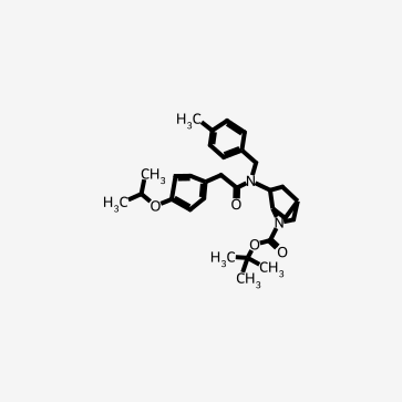 Cc1ccc(CN(C(=O)Cc2ccc(OC(C)C)cc2)C2CC3CC2N(C(=O)OC(C)(C)C)C3)cc1